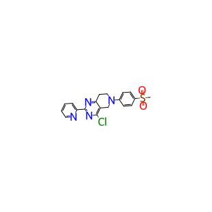 CS(=O)(=O)c1ccc(N2CCc3nc(-c4ccccn4)nc(Cl)c3C2)cc1